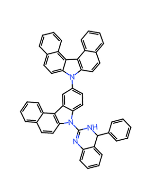 c1ccc(C2NC(n3c4ccc(-n5c6ccc7ccccc7c6c6c7ccccc7ccc65)cc4c4c5ccccc5ccc43)=Nc3ccccc32)cc1